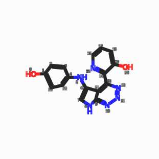 Oc1ccc(Nc2c[nH]c3nnnc(-c4ncccc4O)c23)cc1